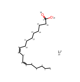 CCCCC/C=C\C/C=C\CCCCCCCC(=O)[O-].[Li+]